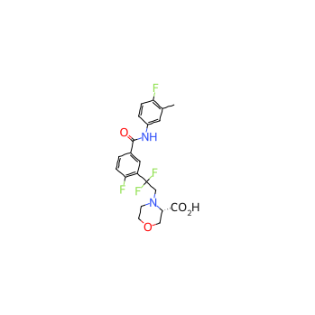 Cc1cc(NC(=O)c2ccc(F)c(C(F)(F)CN3CCOC[C@H]3C(=O)O)c2)ccc1F